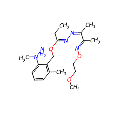 CCC(=NN=C(C)C(C)=NOCCOC)OCc1c(C)cccc1N(C)N